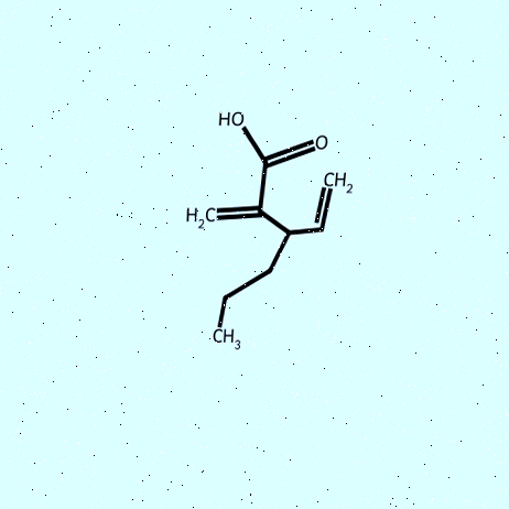 C=CC(CCC)C(=C)C(=O)O